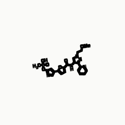 COCCn1cc(NC(=O)c2ccc(-c3cnn(OP(C)(=O)O)c3)o2)c(-c2ccccn2)n1